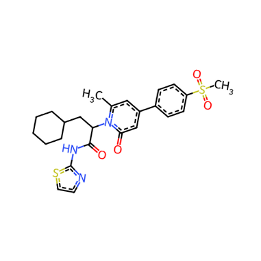 Cc1cc(-c2ccc(S(C)(=O)=O)cc2)cc(=O)n1C(CC1CCCCC1)C(=O)Nc1nccs1